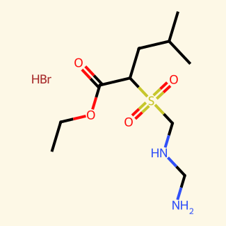 Br.CCOC(=O)C(CC(C)C)S(=O)(=O)CNCN